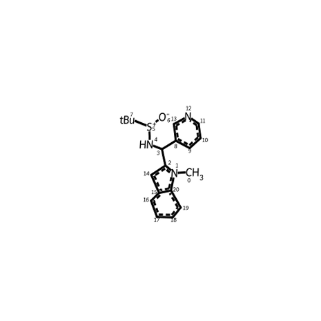 Cn1c(C(N[S+]([O-])C(C)(C)C)c2cccnc2)cc2ccccc21